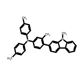 Cc1ccc(N(c2ccc(C)cc2)c2ccc(-c3ccc4c5ccccc5n(C)c4c3)c(C)c2)cc1